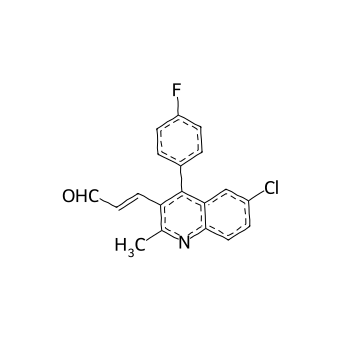 Cc1nc2ccc(Cl)cc2c(-c2ccc(F)cc2)c1/C=C/C=O